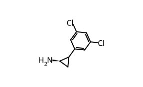 N[C@@H]1CC1c1cc(Cl)cc(Cl)c1